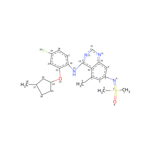 Cc1cc(N=S(C)(C)=O)cc2ncnc(Nc3ccc(F)cc3OC3CCC(C)C3)c12